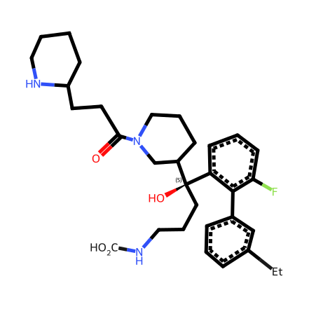 CCc1cccc(-c2c(F)cccc2[C@](O)(CCCNC(=O)O)C2CCCN(C(=O)CCC3CCCCN3)C2)c1